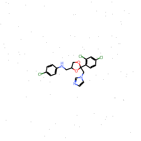 Clc1ccc(NCC2COC(Cn3ccnc3)(c3ccc(Cl)cc3Cl)O2)cc1